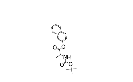 C[C@H](NC(=O)OC(C)(C)C)C(=O)Oc1ccc2ccccc2c1